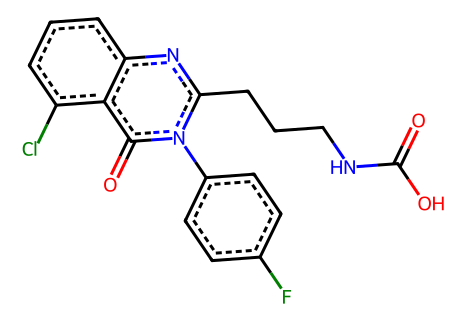 O=C(O)NCCCc1nc2cccc(Cl)c2c(=O)n1-c1ccc(F)cc1